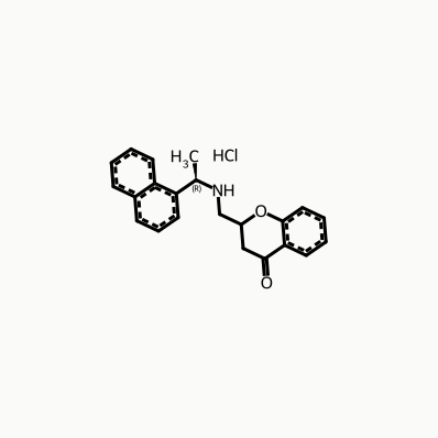 C[C@@H](NCC1CC(=O)c2ccccc2O1)c1cccc2ccccc12.Cl